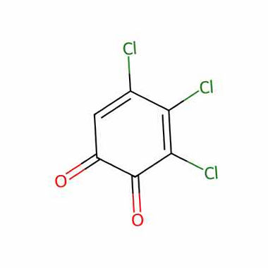 O=C1C=C(Cl)C(Cl)=C(Cl)C1=O